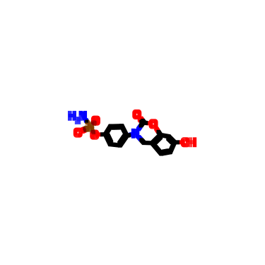 NS(=O)(=O)Oc1ccc(N2Cc3ccc(O)cc3OC2=O)cc1